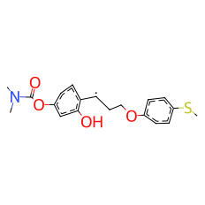 CSc1ccc(OCC[CH]c2ccc(OC(=O)N(C)C)cc2O)cc1